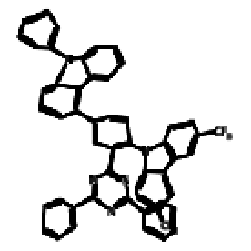 FC(F)(F)c1ccc2c(c1)c1cc(C(F)(F)F)ccc1n2-c1ccc(-c2cccc3c2c2ccccc2n3-c2ccccc2)cc1-c1nc(-c2ccccc2)nc(-c2ccccc2)n1